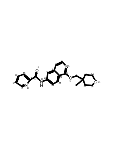 CC1(COc2nccc3cc(NC(=O)c4ccccn4)ccc23)CCOCC1